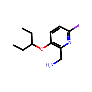 CCC(CC)Oc1ccc(I)nc1CN